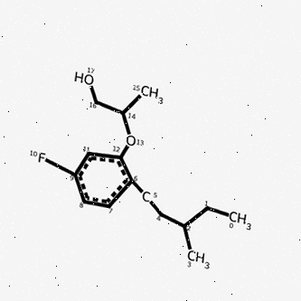 CCC(C)CCc1ccc(F)cc1OC(C)CO